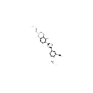 Cc1c(-c2noc(-c3ccc(OC(C)C)c(C#N)c3)n2)ccc2c1CCN(CCO)C2